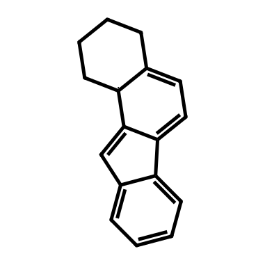 C1=C2CCCC[C]2C2=Cc3ccccc3C2=C1